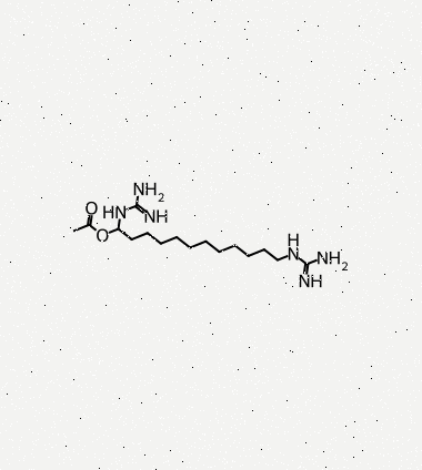 CC(=O)OC(CCCCCCCCCCCNC(=N)N)NC(=N)N